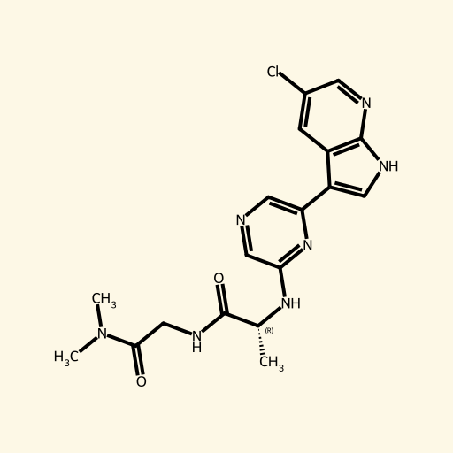 C[C@@H](Nc1cncc(-c2c[nH]c3ncc(Cl)cc23)n1)C(=O)NCC(=O)N(C)C